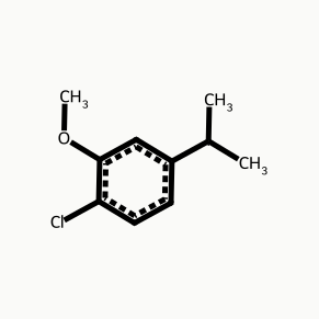 COc1cc([C](C)C)ccc1Cl